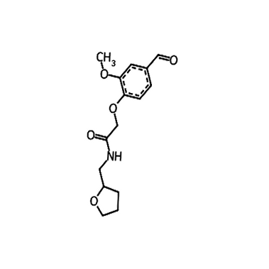 COc1cc(C=O)ccc1OCC(=O)NCC1CCCO1